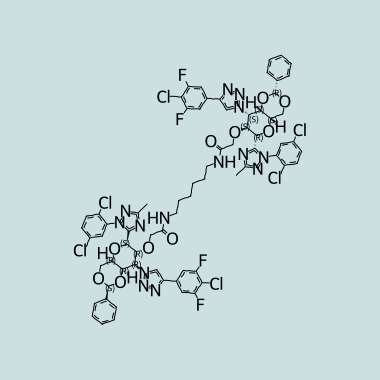 Cc1nc([C@H]2O[C@H]3CO[C@@H](c4ccccc4)O[C@H]3[C@@H](n3cc(-c4cc(F)c(Cl)c(F)c4)nn3)[C@@H]2OCC(=O)NCCCCCCNC(=O)CO[C@@H]2[C@@H](n3cc(-c4cc(F)c(Cl)c(F)c4)nn3)[C@H]3O[C@@H](c4ccccc4)OC[C@H]3O[C@H]2c2nc(C)nn2-c2cc(Cl)ccc2Cl)n(-c2cc(Cl)ccc2Cl)n1